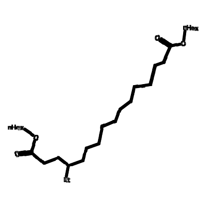 CCCCCCOC(=O)CCCCCCCCCCCC(CC)CCC(=O)OCCCCCC